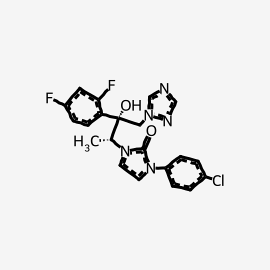 C[C@@H](n1ccn(-c2ccc(Cl)cc2)c1=O)[C@](O)(Cn1cncn1)c1ccc(F)cc1F